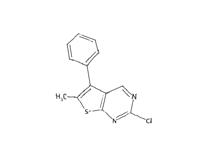 Cc1sc2nc(Cl)ncc2c1-c1ccccc1